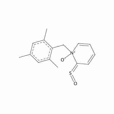 Cc1cc(C)c(C[N+]2([O-])C=CC=CC2=S=O)c(C)c1